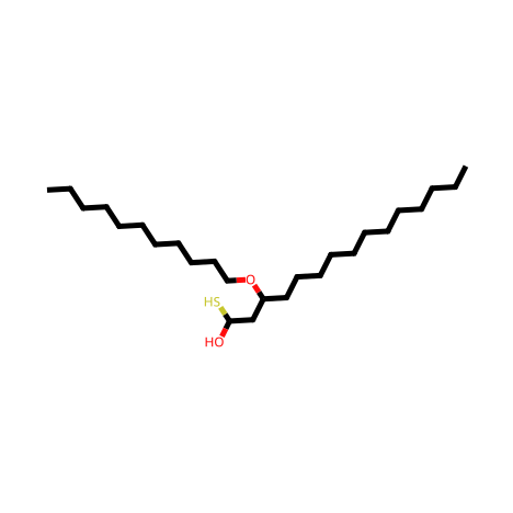 CCCCCCCCCCCCC(CC(O)S)OCCCCCCCCCCC